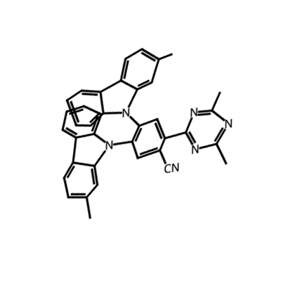 Cc1ccc2c3ccccc3n(-c3cc(C#N)c(-c4nc(C)nc(C)n4)cc3-n3c4ccccc4c4ccc(C)cc43)c2c1